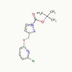 CC(C)(C)OC(=O)n1ccc(COc2cccc(Br)n2)n1